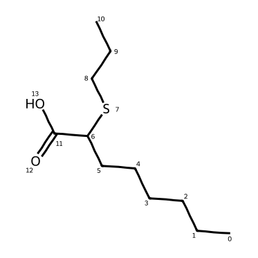 CCCCCCC(SCCC)C(=O)O